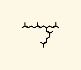 CC(C)=CCC/C(C)=C/CC(/C=C(\C)CCC=C(C)C)CC=C(C)C